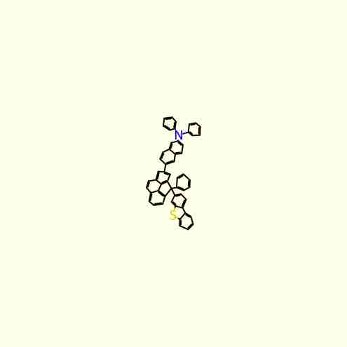 c1ccc(N(c2ccccc2)c2ccc3cc(-c4cc5c6c(ccc7cccc(c76)C5(c5ccccc5)c5ccc6c(c5)sc5ccccc56)c4)ccc3c2)cc1